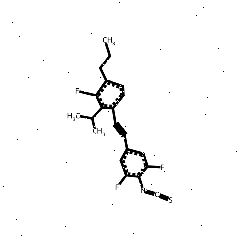 CCCc1ccc(C#Cc2cc(F)c(N=C=S)c(F)c2)c(C(C)C)c1F